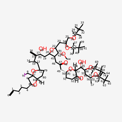 C=CCCC[C@H]1CC2(CI)OC(C[C@@H](C)C(=C)[C@H](O)CC3OC(C[C@@H](CO[Si](C)(C)C(C)(C)C)O[Si](C)(C)C(C)(C)C)[C@H](OC)C3CC(=O)C[C@H]3CC[C@@H]4O[C@@H]([C@H](C)O[Si](C)(C)C(C)(C)C)C(O[Si](C)(C)C(C)(C)C)[C@@H](O)[C@H]4O3)CC[C@@H]2O1